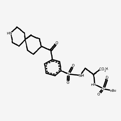 CCCCS(=O)(=O)NC(CNS(=O)(=O)c1cccc(C(=O)C2CCC3(CCNCC3)CC2)c1)C(=O)O